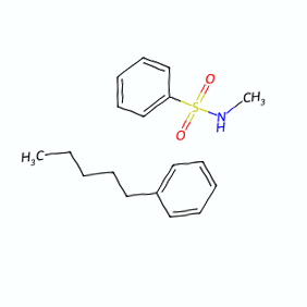 CCCCCc1ccccc1.CNS(=O)(=O)c1ccccc1